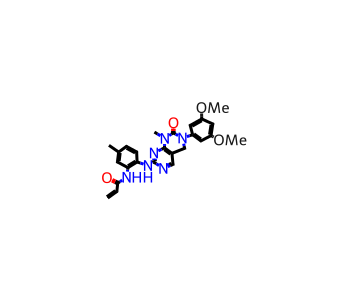 C=CC(=O)Nc1cc(C)ccc1Nc1ncc2c(n1)N(C)C(=O)N(c1cc(OC)cc(OC)c1)C2